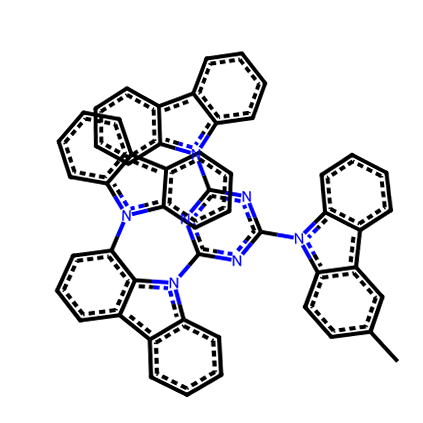 Cc1ccc2c(c1)c1ccccc1n2-c1nc(-n2c3ccccc3c3ccccc32)nc(-n2c3ccccc3c3cccc(-n4c5ccccc5c5ccccc54)c32)n1